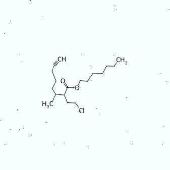 C#CCCCC(C)C(CCCl)C(=O)OCCCCCCC